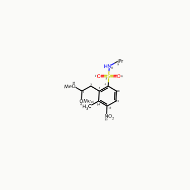 COC(Cc1c(S(=O)(=O)NC(C)C)ccc([N+](=O)[O-])c1C)OC